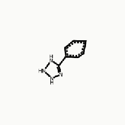 c1ccc(C2=NNNN2)cc1